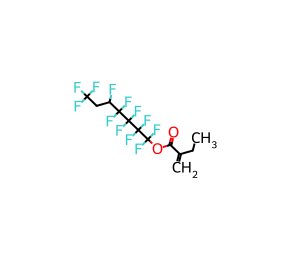 C=C(CC)C(=O)OC(F)(F)C(F)(F)C(F)(F)C(F)(F)C(F)CC(F)(F)F